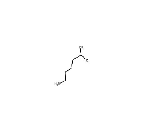 CC(Cl)CCCCN